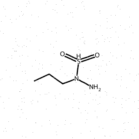 CCCN(N)[SH](=O)=O